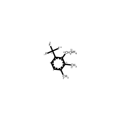 Cc1ccc(C(F)(F)F)c(C)c1C.[SiH4]